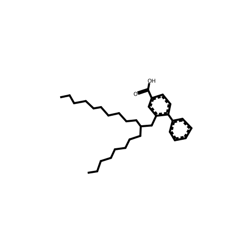 CCCCCCCCCCC(CCCCCCCC)Cc1cc(C(=O)O)ccc1-c1ccccc1